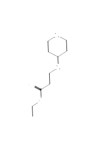 CCOC(=O)CCNC1CC[N]CC1